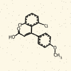 COc1ccc(/C(=C/C(=O)O)c2c(Cl)cccc2Cl)cc1